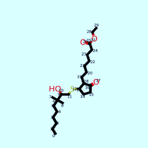 CCCCCCC(C)(C)C(O)CSC1CCC(=O)C1CCCCCCC(=O)OCC